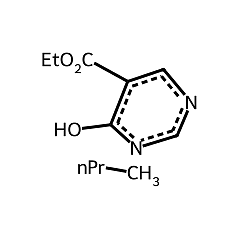 CCCC.CCOC(=O)c1cncnc1O